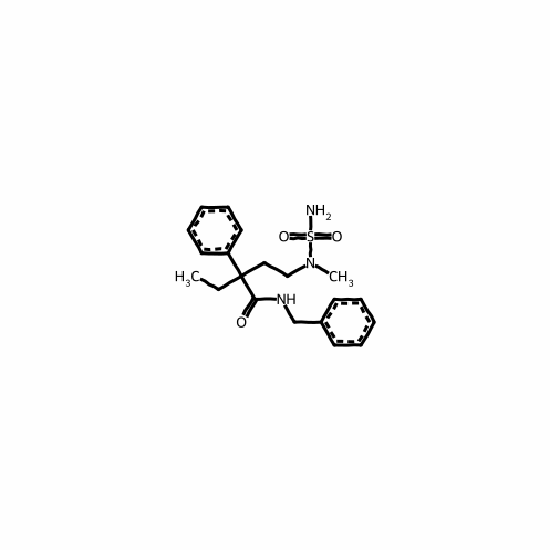 CCC(CCN(C)S(N)(=O)=O)(C(=O)NCc1ccccc1)c1ccccc1